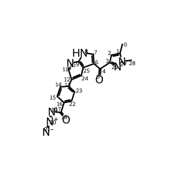 Cc1cc(C(=O)c2c[nH]c3ncc(-c4ccc(C(=O)N=[N+]=[N-])cc4)cc23)nn1C